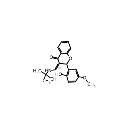 COc1ccc(O)c(C2Oc3ccccc3C(=O)/C2=C\NC(C)(C)C)c1